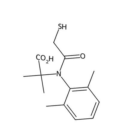 Cc1cccc(C)c1N(C(=O)CS)C(C)(C)C(=O)O